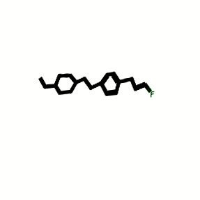 CCC1CCC(CCc2ccc(C/C=C/F)cc2)CC1